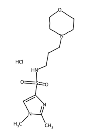 Cc1nc(S(=O)(=O)NCCCN2CCOCC2)cn1C.Cl